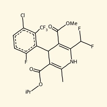 COC(=O)C1=C(C(F)F)NC(C)=C(C(=O)OC(C)C)C1c1c(F)ccc(Cl)c1C(F)(F)F